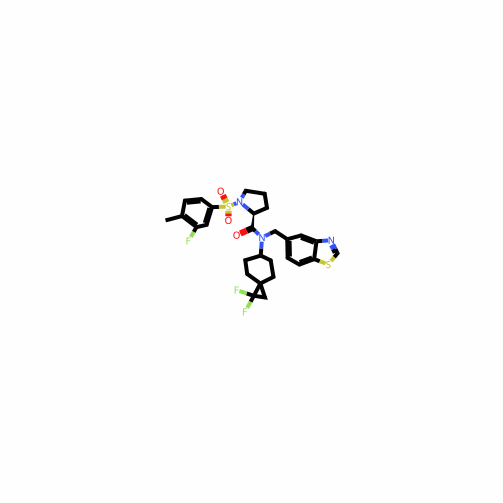 Cc1ccc(S(=O)(=O)N2CCC[C@H]2C(=O)N(Cc2ccc3scnc3c2)C2CCC3(CC2)CC3(F)F)cc1F